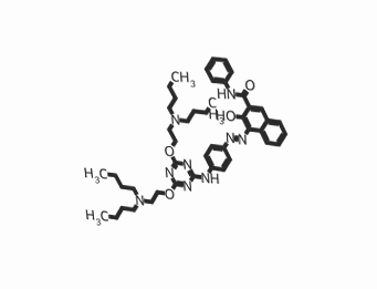 CCCCN(CCCC)CCOc1nc(Nc2ccc(N=Nc3c(O)c(C(=O)Nc4ccccc4)cc4ccccc34)cc2)nc(OCCN(CCCC)CCCC)n1